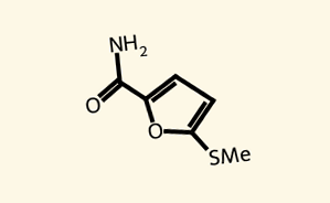 CSc1ccc(C(N)=O)o1